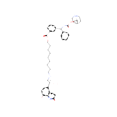 O=C(NC(c1ccccc1)c1cccc(C(=O)OCCCCCCCCCNC[C@H](O)c2ccc(O)c3[nH]c(=O)ccc23)c1)O[C@H]1CN2CCC1CC2